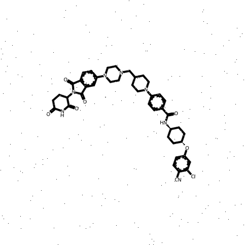 N#Cc1ccc(O[C@H]2CC[C@H](NC(=O)c3ccc(N4CCC(CN5CCN(c6ccc7c(c6)C(=O)N(C6CCC(=O)NC6=O)C7=O)CC5)CC4)cc3)CC2)cc1Cl